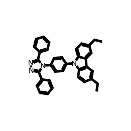 CCc1ccc2c(c1)c1cc(CC)ccc1n2-c1ccc(-n2c(-c3ccccc3)nnc2-c2ccccc2)cc1